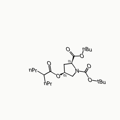 CCCCOC(=O)[C@@H]1C[C@H](OC(=O)C(CCC)CCC)CN1C(=O)OC(C)(C)C